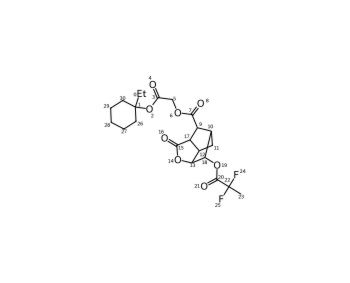 CCC1(OC(=O)COC(=O)C2C3CC4C(OC(=O)C42)C3OC(=O)C(C)(F)F)CCCCC1